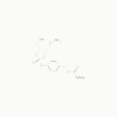 BOCCOP(=O)(OCCO)Oc1ccc(COC(=O)NC)cc1